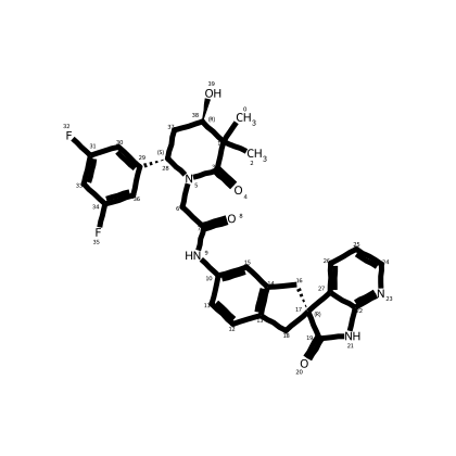 CC1(C)C(=O)N(CC(=O)Nc2ccc3c(c2)C[C@@]2(C3)C(=O)Nc3ncccc32)[C@H](c2cc(F)cc(F)c2)C[C@H]1O